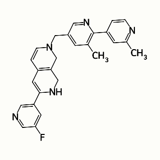 Cc1cc(-c2ncc(CN3C=CC4=C(CNC(c5cncc(F)c5)=C4)C3)cc2C)ccn1